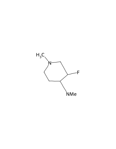 CNC1CCN(C)CC1F